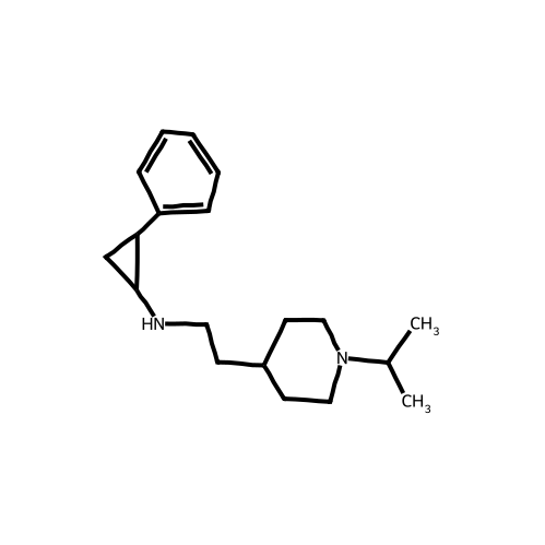 CC(C)N1CCC(CCNC2CC2c2ccccc2)CC1